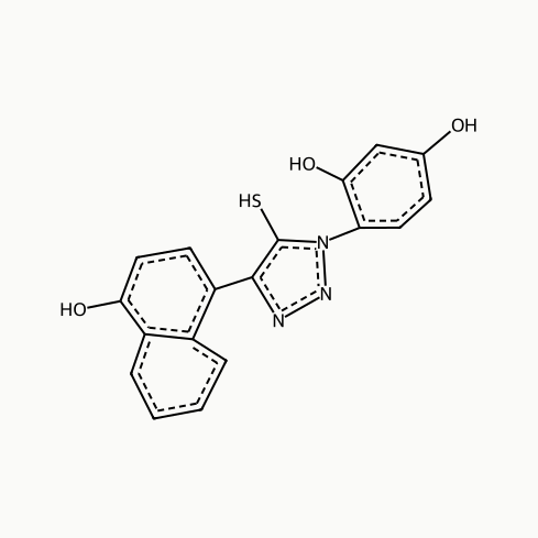 Oc1ccc(-n2nnc(-c3ccc(O)c4ccccc34)c2S)c(O)c1